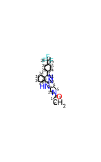 C=CC(=O)N1CC[C@H](Nc2nnc(-c3ccc(C(F)(F)F)cc3)c3ccccc23)C1